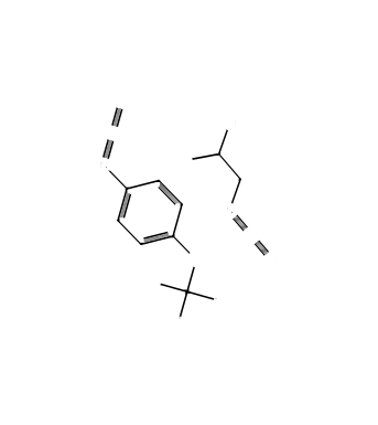 CC(C)CN=C=O.O=C=Nc1ccc(OC(F)(F)F)cc1